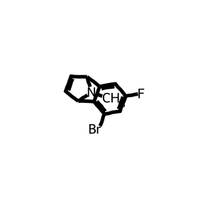 CN1C2C=CC1c1c(Br)cc(F)cc12